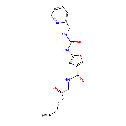 O=C(O)CCCC(=O)CNC(=O)c1csc(NC(=O)NCc2ccccn2)n1